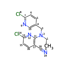 CCN(Cc1ccc(Cl)nc1)c1nc(Cl)ccc1C#N